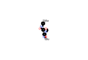 CSc1ccc(CN(C)C(=O)c2ccc3c(c2)OCCCN3c2ccc3nc(C(C)(C)C)oc3c2)cc1